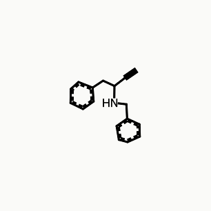 C#CC(Cc1ccccc1)NCc1ccccc1